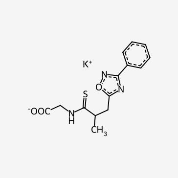 CC(Cc1nc(-c2ccccc2)no1)C(=S)NCC(=O)[O-].[K+]